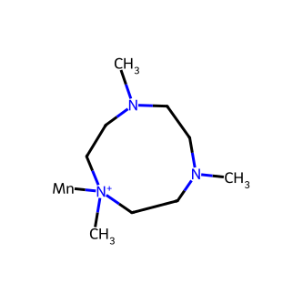 CN1CCN(C)CC[N+](C)([Mn])CC1